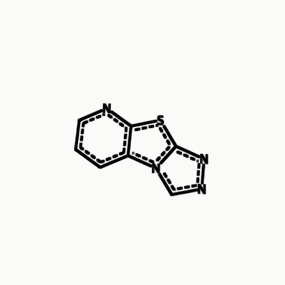 c1cnc2sc3nncn3c2c1